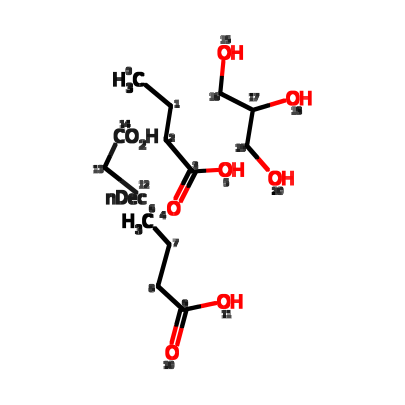 CCCC(=O)O.CCCC(=O)O.CCCCCCCCCCCC(=O)O.OCC(O)CO